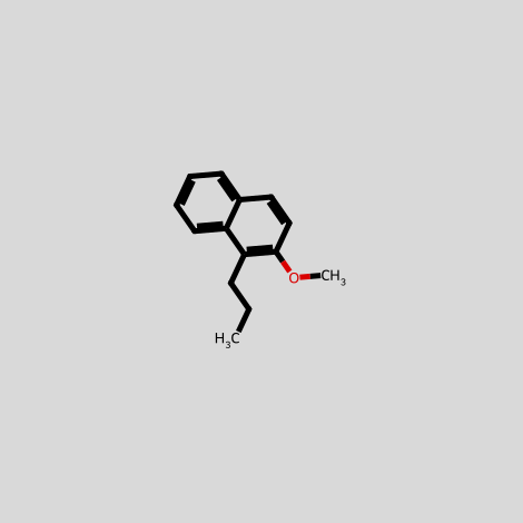 CCCc1c(OC)ccc2ccccc12